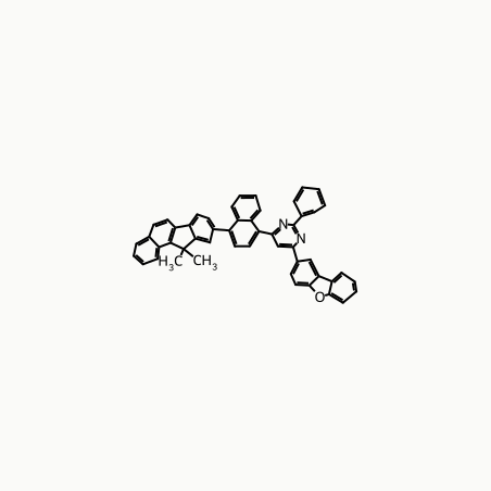 CC1(C)c2cc(-c3ccc(-c4cc(-c5ccc6oc7ccccc7c6c5)nc(-c5ccccc5)n4)c4ccccc34)ccc2-c2ccc3ccccc3c21